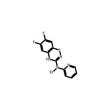 CCN(C1=NSc2cc(F)c(F)cc2N1)c1ccccn1